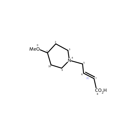 COC1CCN(C/C=C/C(=O)O)CC1